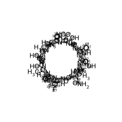 CCCC[C@H]1C(=O)N2C[C@H](O)C[C@@H]2C(=O)N[C@@H](CC(=O)O)C(=O)N[C@@H](C(C)C)C(=O)N(C)[C@@H](Cc2ccccc2)C(=O)N[C@@H](CCC(=O)O)C(=O)N2C[C@@H](O)C[C@@H]2C(=O)N[C@@H](Cc2c[nH]c3ccccc23)C(=O)N[C@@H](Cc2ccc(O)cc2)C(=O)N[C@@H](CC(C)C)C(=O)N[C@H](C(=O)NCC(N)=O)CSCC(=O)N[C@@H](Cc2cc(F)c(F)c(F)c2)C(=O)N(C)[C@@H](Cc2ccccc2)C(=O)N1C